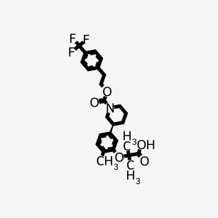 Cc1ccc([C@@H]2CCCN(C(=O)OCCc3ccc(C(F)(F)F)cc3)C2)cc1OC(C)(C)C(=O)O